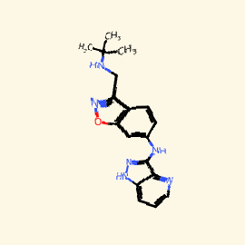 CC(C)(C)NCc1noc2cc(Nc3n[nH]c4cccnc34)ccc12